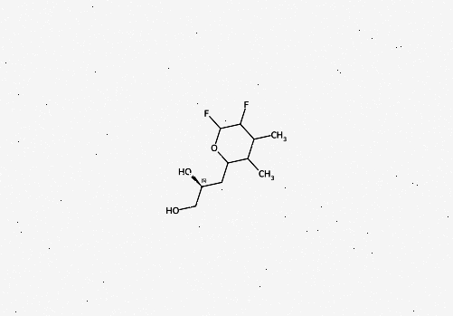 CC1C(C[C@H](O)CO)OC(F)C(F)C1C